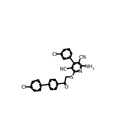 N#Cc1c(N)nc(SCC(=O)c2ccc(-c3ccc(Cl)cc3)cc2)c(C#N)c1-c1cccc(Cl)c1